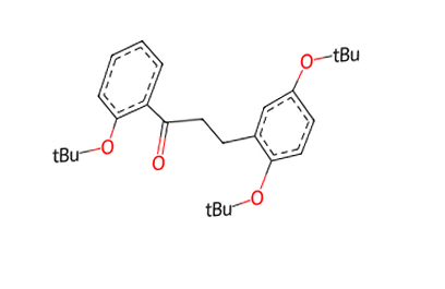 CC(C)(C)Oc1ccc(OC(C)(C)C)c(CCC(=O)c2ccccc2OC(C)(C)C)c1